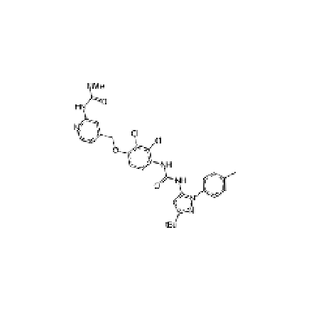 CNC(=O)Nc1cc(COc2ccc(NC(=O)Nc3cc(C(C)(C)C)nn3-c3ccc(C)cc3)c(Cl)c2Cl)ccn1